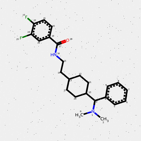 CN(C)C(c1ccccc1)C1CCC(CCNC(=O)c2ccc(F)c(F)c2)CC1